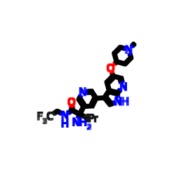 CC(C)C(N)(C(=O)NCC(F)(F)F)c1cncc(-c2c[nH]c3ncc(OC4CCN(C)CC4)cc23)c1